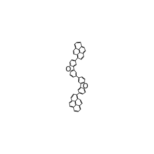 c1cc2ccc3ccc(-c4ccc5oc6ccc(-c7ccc8oc9ccc(-c%10ccc%11ccc%12cccc%13ccc%10c%11c%12%13)cc9c8c7)cc6c5c4)c4ccc(c1)c2c34